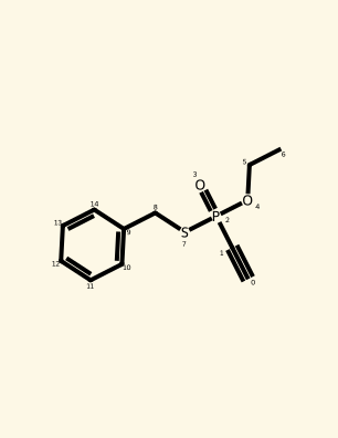 C#CP(=O)(OCC)SCc1ccccc1